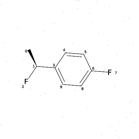 C[C@H](F)c1ccc(F)cc1